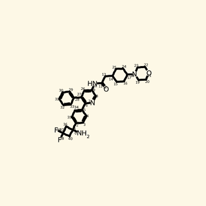 NC1(c2ccc(-c3ncc(NC(=O)CC4CCC(N5CCOCC5)CC4)cc3-c3ccccc3)cc2)CC(F)(F)C1